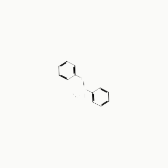 [NaH].c1ccc(OOc2ccccc2)cc1